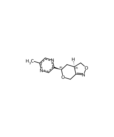 Cc1cnc([C@H]2C[C@H]3CON=C3CO2)cn1